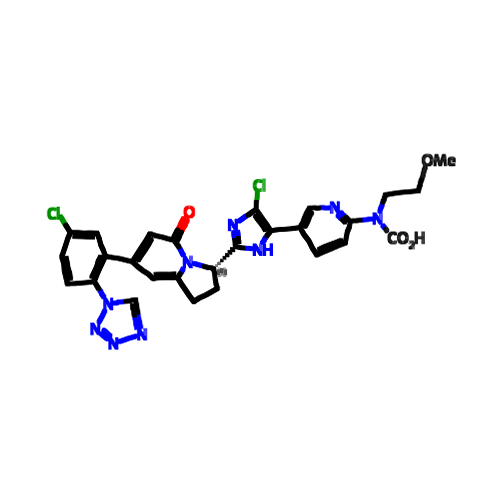 COCCN(C(=O)O)c1ccc(-c2[nH]c([C@@H]3CCc4cc(-c5cc(Cl)ccc5-n5cnnn5)cc(=O)n43)nc2Cl)cn1